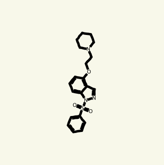 O=S(=O)(c1ccccc1)n1ncc2c(OCCN3CCCCC3)cccc21